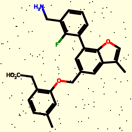 Cc1ccc(CC(=O)O)c(OCc2cc(-c3cccc(CN)c3F)c3occ(C)c3c2)c1